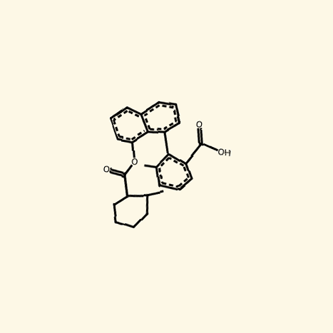 Cc1cccc(C(=O)O)c1-c1cccc2cccc(OC(=O)C3CCCCC3C)c12